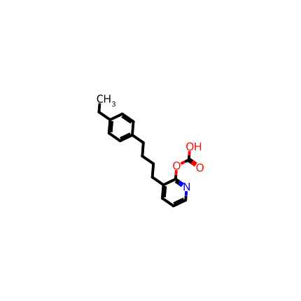 CCc1ccc(CCCCc2cccnc2OC(=O)O)cc1